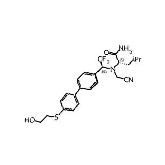 CC(C)C[C@@H](C(N)=O)N(CC#N)[C@@H](c1ccc(-c2ccc(SCCO)cc2)cc1)C(F)(F)F